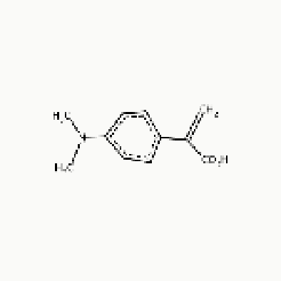 C=C(C(=O)O)c1ccc(N(C)C)cc1